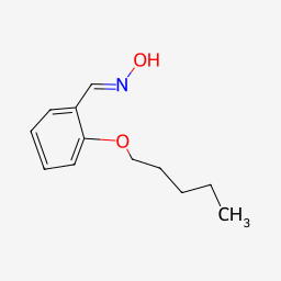 CCCCCOc1ccccc1C=NO